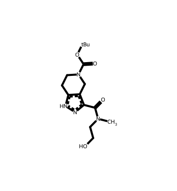 CN(CCO)C(=O)c1n[nH]c2c1CN(C(=O)OC(C)(C)C)CC2